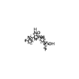 O=C1NCc2c(-c3cnc4c(F)cccn34)ncc(Nc3ccc(N(CCO)CCCF)cn3)c21